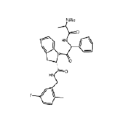 CNC(C)C(=O)NC(C(=O)N1c2ccccc2C[C@H]1C(=O)NCc1cc(F)ccc1C)c1ccccc1